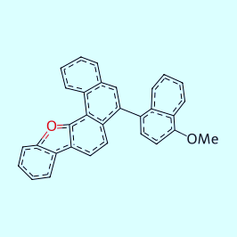 COc1ccc(-c2cc3ccccc3c3c2ccc2c4ccccc4oc23)c2ccccc12